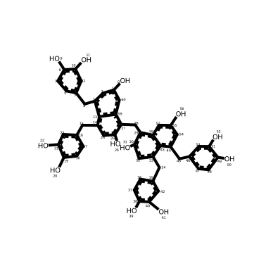 Oc1cc(Cc2ccc(O)c(O)c2)c2c(Cc3ccc(O)c(O)c3)cc(O)c(Cc3c(O)cc(Cc4ccc(O)c(O)c4)c4c(Cc5ccc(O)c(O)c5)cc(O)cc34)c2c1